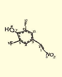 O=[N+]([O-])C=Cc1cc(F)c(O)c(F)c1